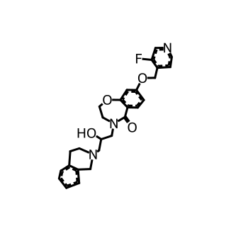 O=C1c2ccc(OCc3ccncc3F)cc2OCCN1CC(O)CN1CCc2ccccc2C1